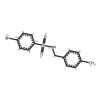 Cc1ccc(CNS(=O)(=O)c2ccc(Br)cc2)cc1